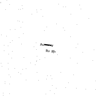 [Ir][Au].[Rh].[Ru]